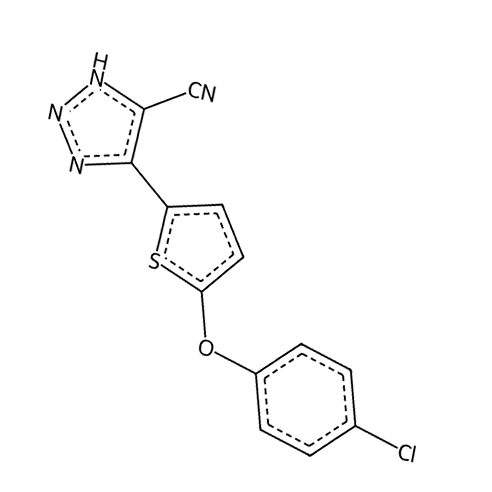 N#Cc1[nH]nnc1-c1ccc(Oc2ccc(Cl)cc2)s1